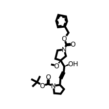 CO[C@@]1([C@@H](O)C#CC2CCCN2C(=O)OC(C)(C)C)CCN(C(=O)OCc2ccccc2)C1